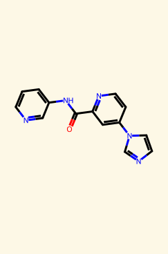 O=C(Nc1cccnc1)c1cc(-n2ccnc2)ccn1